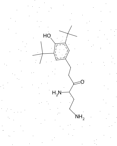 CC(C)(C)c1cc(CCC(=O)C(N)CCN)cc(C(C)(C)C)c1O